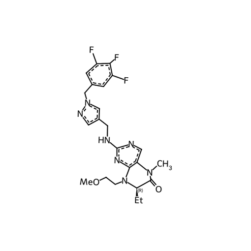 CC[C@@H]1C(=O)N(C)c2cnc(NCc3cnn(Cc4cc(F)c(F)c(F)c4)c3)nc2N1CCOC